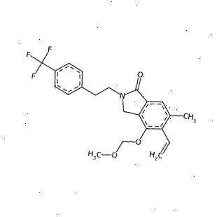 C=Cc1c(C)cc2c(c1OCOC)CN(CCc1ccc(C(F)(F)F)cc1)C2=O